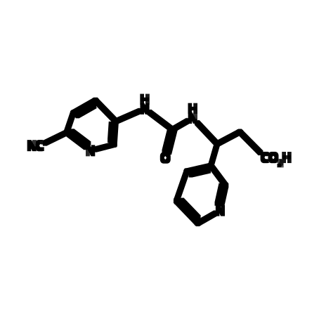 N#Cc1ccc(NC(=O)NC(CC(=O)O)c2cccnc2)cn1